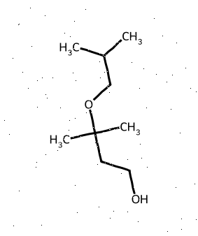 CC(C)COC(C)(C)CCO